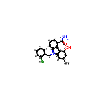 CC(C)c1cc(O)c2c3c(C(N)=O)cccc3n(Cc3ccccc3Br)c2c1